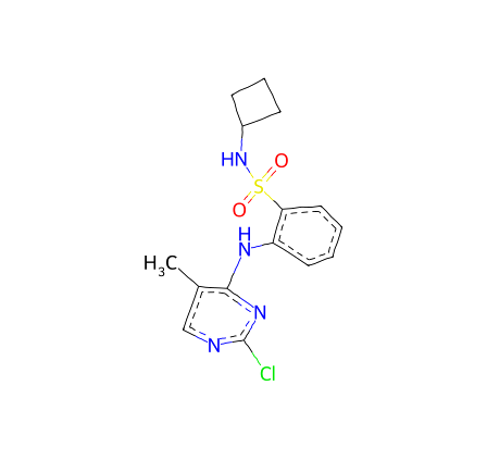 Cc1cnc(Cl)nc1Nc1ccccc1S(=O)(=O)NC1CCC1